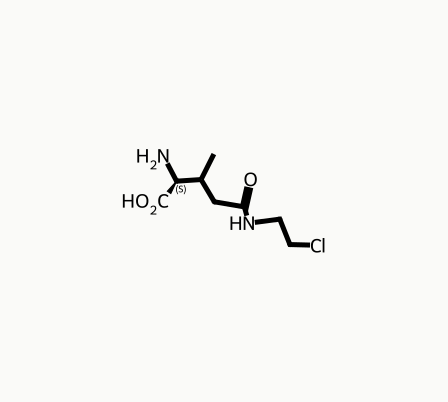 CC(CC(=O)NCCCl)[C@H](N)C(=O)O